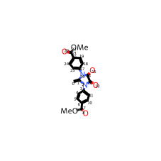 C=C1N(c2ccc(C(=O)OC)cc2)C(=O)C(=O)N1c1ccc(C(=O)OC)cc1